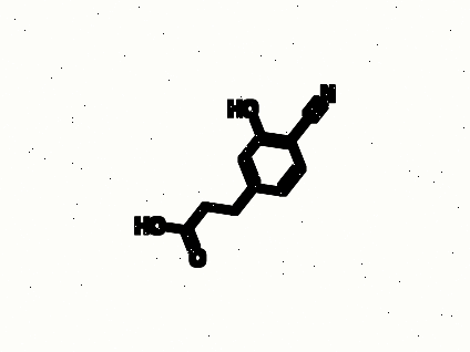 N#Cc1ccc(CCC(=O)O)cc1O